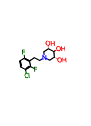 OC1[C@H](O)CN(CCc2c(F)ccc(Cl)c2F)C[C@@H]1O